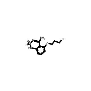 NC1=NS(=O)(=O)Nc2cccc(OCCCO)c21